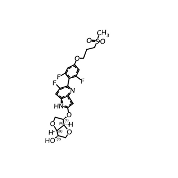 CS(=O)(=O)CCCOc1cc(F)c(-c2nc3cc(O[C@@H]4CO[C@H]5[C@@H]4OC[C@H]5O)[nH]c3cc2F)c(F)c1